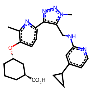 Cc1nc(-c2nnn(C)c2CNc2cc(C3CC3)ccn2)ccc1O[C@H]1CCC[C@H](C(=O)O)C1